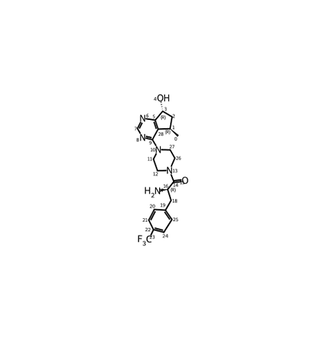 C[C@@H]1C[C@@H](O)c2ncnc(N3CCN(C(=O)[C@H](N)Cc4ccc(C(F)(F)F)cc4)CC3)c21